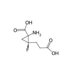 NC1(C(=O)O)C[C@@]1(F)CCC(=O)O